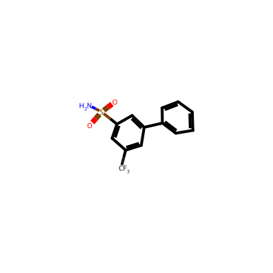 NS(=O)(=O)c1cc(-c2ccccc2)cc(C(F)(F)F)c1